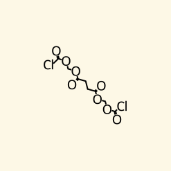 O=C(Cl)OCOC(=O)CCC(=O)OCOC(=O)Cl